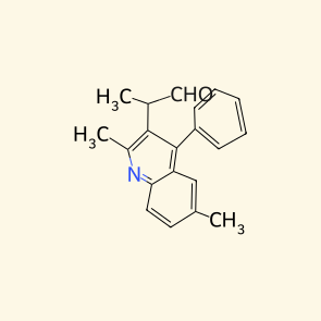 Cc1ccc2nc(C)c(C(C)C=O)c(-c3ccccc3)c2c1